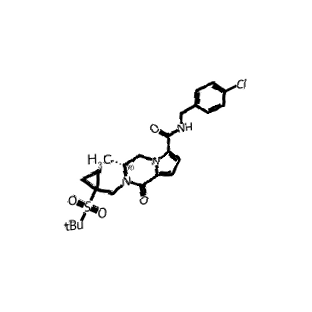 C[C@@H]1Cn2c(C(=O)NCc3ccc(Cl)cc3)ccc2C(=O)N1CC1(S(=O)(=O)C(C)(C)C)CC1